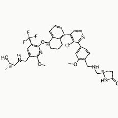 COc1cc(-c2nccc(-c3cccc4c3CCC[C@H]4Oc3nc(OC)c(CNC[C@H](C)O)cc3C(F)(F)F)c2Cl)ccc1CNC[C@H]1CCC(=O)N1